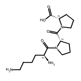 NCCCC[C@H](N)C(=O)N1CCC[C@H]1C(=O)N1CCC[C@H]1C(=O)O